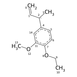 C=C[C](C)c1ccc(OCC)c(OC)c1